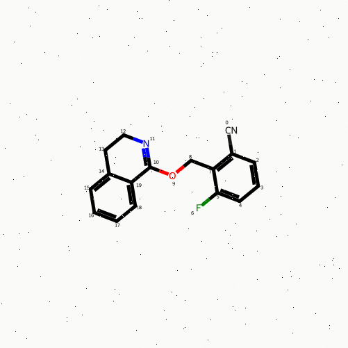 N#Cc1cccc(F)c1COC1=NCCc2ccccc21